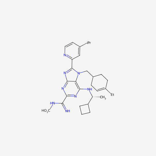 CCC1=CCC(Cn2c(-c3cc(C(C)C)ccn3)nc3nc(C(=N)NC(=O)O)nc(N[C@H](C)C4CCC4)c32)CC1